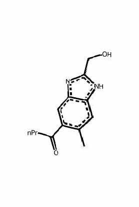 CCCC(=O)c1cc2nc(CO)[nH]c2cc1C